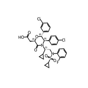 O=C(O)C[C@H]1O[C@H](c2cccc(Cl)c2)[C@@H](c2ccc(Cl)cc2)N([C@H](CN(c2ccccc2F)S(=O)(=O)C2CC2)C2CC2)C1=O